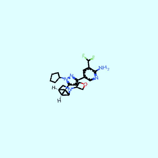 Nc1ncc(-c2cc([C@@]34C5[C@H]3[C@H]4CN5C3COC3)n(C3CCCC3)n2)cc1C(F)F